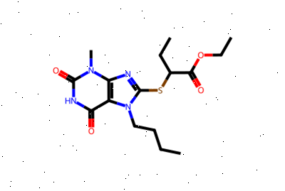 CCCCn1c(SC(CC)C(=O)OCC)nc2c1c(=O)[nH]c(=O)n2C